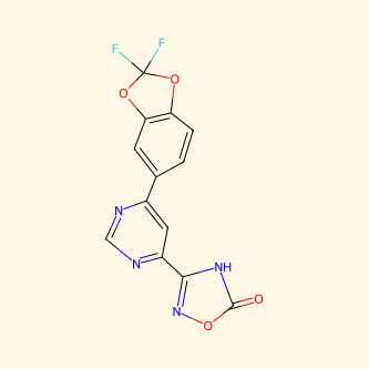 O=c1[nH]c(-c2cc(-c3ccc4c(c3)OC(F)(F)O4)ncn2)no1